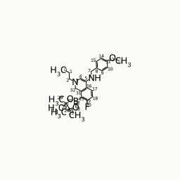 CCCN1C=C(NCc2ccc(OC)cc2)c2ccc(F)c(B3OC(C)(C)C(C)(C)O3)c2C1